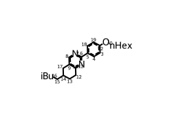 CCCCCCOc1ccc(-c2ncc3c(n2)CCC(CC(C)CC)C3)cc1